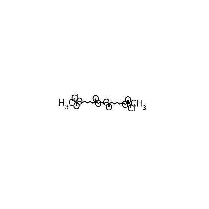 CC(Cl)C(=O)OCCCCCC(=O)OCCOC(=O)CCCCCOC(=O)C(C)Cl